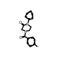 [CH2]c1ccc(C(=O)N2CCN(c3ccccc3)C(=O)C2)cc1